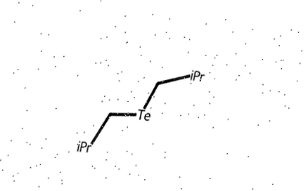 CC(C)C[Te]CC(C)C